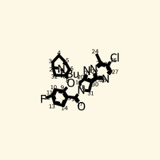 CCCCN1C2CCC1CC(Oc1cc(F)ccc1C(=O)N1Cc3nn4c(C)c(Cl)cnc4c3C1)C2